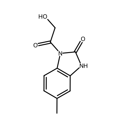 Cc1ccc2c(c1)[nH]c(=O)n2C(=O)CO